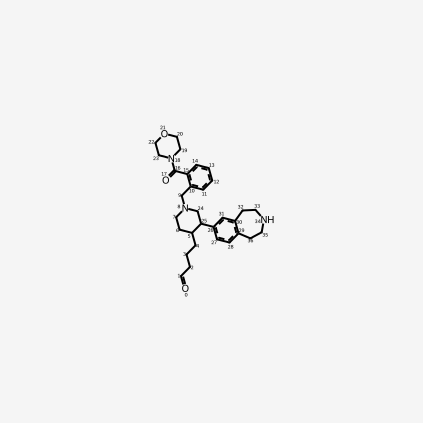 O=CCCCC1CCN(Cc2ccccc2C(=O)N2CCOCC2)CC1c1ccc2c(c1)CCNCC2